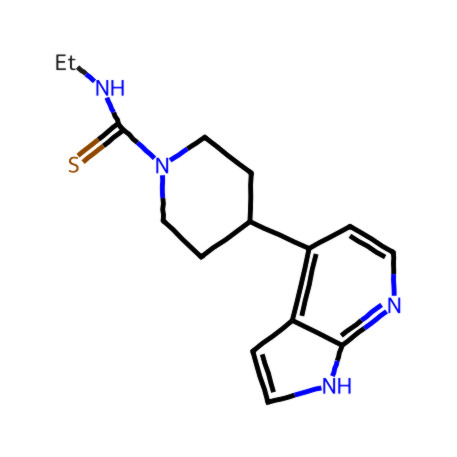 CCNC(=S)N1CCC(c2ccnc3[nH]ccc23)CC1